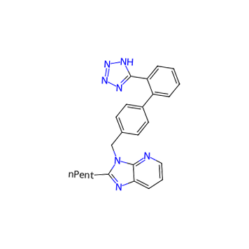 CCCCCc1nc2cccnc2n1Cc1ccc(-c2ccccc2-c2nnn[nH]2)cc1